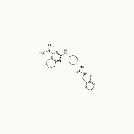 CN(C)c1nc(N[C@H]2CC[C@@H](NC(=S)NCc3ccccc3F)CC2)nc2c1CCCC2